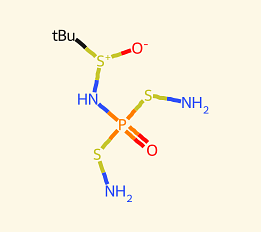 CC(C)(C)[S+]([O-])NP(=O)(SN)SN